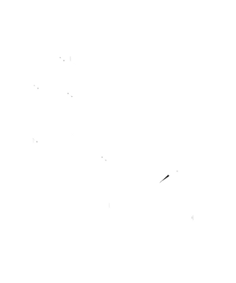 Nc1nc2c(CNC[C@@H](O)[C@@H](O)CO)cnc-2c[nH]1